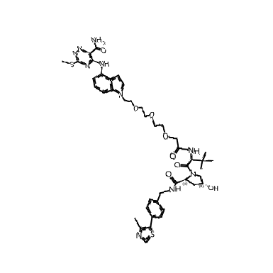 CSc1nnc(C(N)=O)c(Nc2cccc3c2ccn3CCOCCOCCOCC(=O)NC(C(=O)N2C[C@H](O)C[C@H]2C(=O)NCc2ccc(-c3scnc3C)cc2)C(C)(C)C)n1